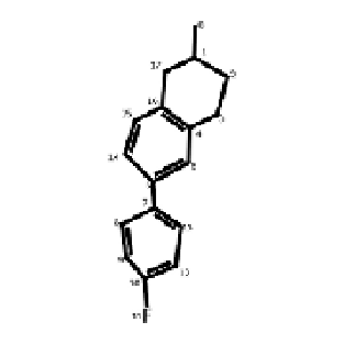 CC1CCc2cc(-c3ccc(F)cc3)ccc2C1